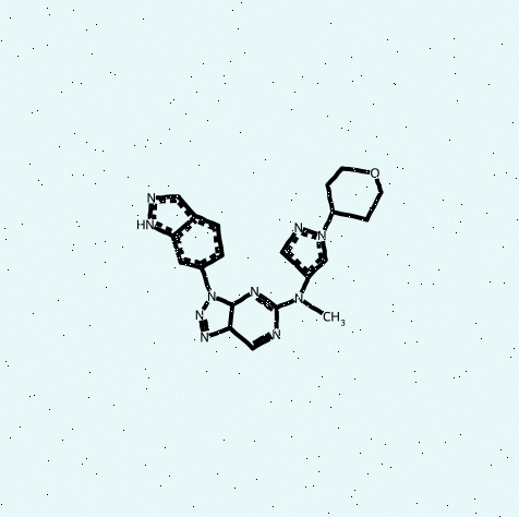 CN(C1=NC2C(C=N1)N=NN2c1ccc2cn[nH]c2c1)c1cnn(C2CCOCC2)c1